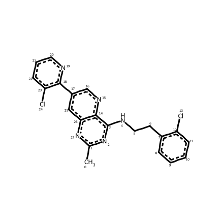 Cc1nc(NCCc2ccccc2Cl)c2ncc(-c3ncccc3Cl)cc2n1